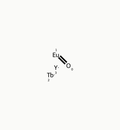 [O]=[Eu].[Tb].[Y]